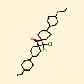 CCCC1CCC(C2CCC3(CC2)C(=O)C2(CCC(C4CCC(CC)CC4)CC2)C3(Cl)Cl)CC1